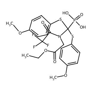 CCOC(=O)CN(C(=O)C(F)(F)F)C(Sc1ccc(OC)cc1)(Sc1ccc(OC)cc1)P(=O)(O)O